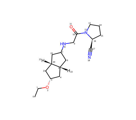 CCO[C@H]1C[C@H]2CC(NCC(=O)N3CCC[C@H]3C#N)C[C@H]2C1